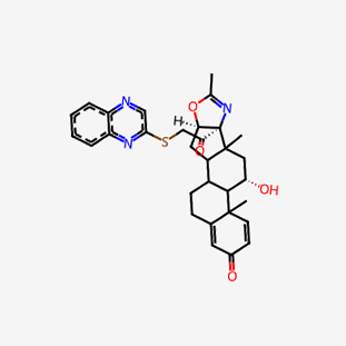 CC1=N[C@]2(C(=O)CSc3cnc4ccccc4n3)[C@@H](CC3C4CCC5=CC(=O)C=CC5(C)C4[C@@H](O)CC32C)O1